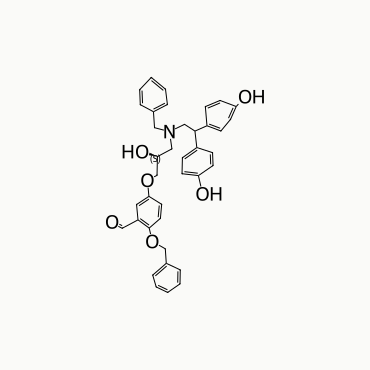 O=Cc1cc(OC[C@@H](O)CN(Cc2ccccc2)CC(c2ccc(O)cc2)c2ccc(O)cc2)ccc1OCc1ccccc1